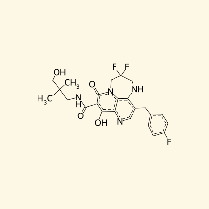 CC(C)(CO)CNC(=O)c1c(O)c2ncc(Cc3ccc(F)cc3)c3c2n(c1=O)CC(F)(F)CN3